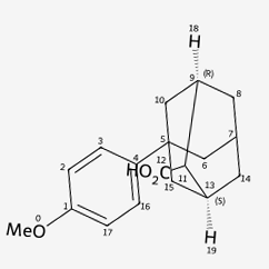 COc1ccc(C23CC4C[C@H](C2)C(C(=O)O)[C@@H](C4)C3)cc1